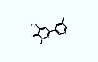 Cc1cncc(-c2cc(N)c(=O)n(C)n2)c1